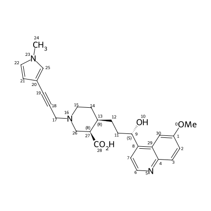 COc1ccc2nccc([C@@H](O)CC[C@@H]3CCN(CC#Cc4ccn(C)c4)C[C@@H]3C(=O)O)c2c1